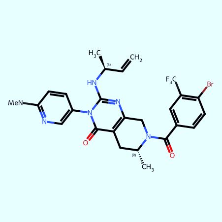 C=C[C@H](C)Nc1nc2c(c(=O)n1-c1ccc(NC)nc1)C[C@@H](C)N(C(=O)c1ccc(Br)c(C(F)(F)F)c1)C2